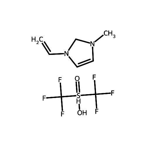 C=CN1C=CN(C)C1.O=[SH](O)(C(F)(F)F)C(F)(F)F